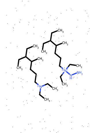 CCC(CC)C(C)CCC[15N+](CC)(CC)NN.CCC(CC)C(C)CCC[15N](CC)CC